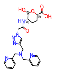 O=C(Cn1cc(CN(Cc2ccccn2)Cc2ccccn2)nn1)N[C@H]1CC[C@H](C(=O)O)OB1O